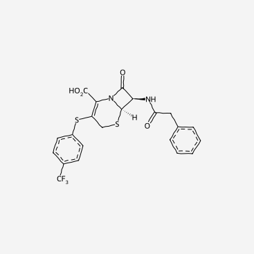 O=C(Cc1ccccc1)N[C@@H]1C(=O)N2C(C(=O)O)=C(Sc3ccc(C(F)(F)F)cc3)CS[C@H]12